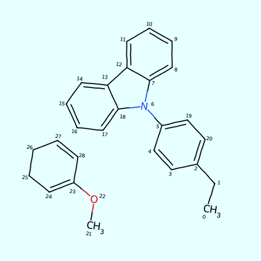 CCc1ccc(-n2c3ccccc3c3ccccc32)cc1.COC1=CCCC=C1